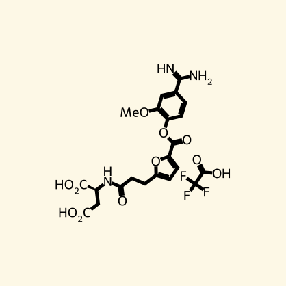 COc1cc(C(=N)N)ccc1OC(=O)c1ccc(CCC(=O)N[C@@H](CC(=O)O)C(=O)O)o1.O=C(O)C(F)(F)F